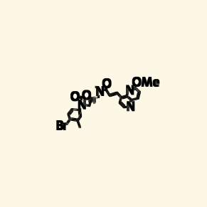 COc1ccc2nccc(C=CC(=O)N(C)C[C@@H]3CN(c4ccc(Br)c(C)c4)C(=O)O3)c2n1